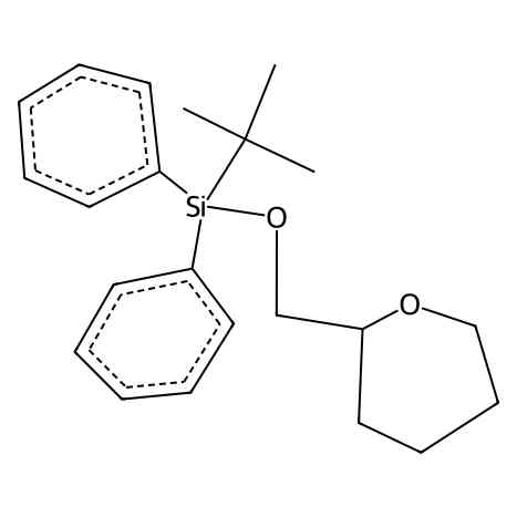 CC(C)(C)[Si](OCC1CCCCO1)(c1ccccc1)c1ccccc1